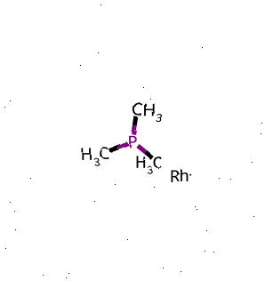 CP(C)C.[Rh]